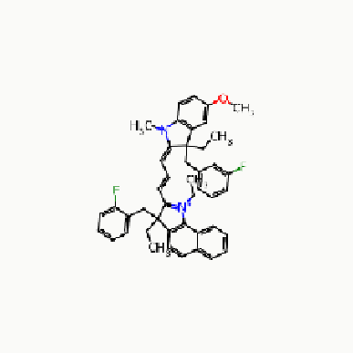 CC[N+]1=C(/C=C/C=C2/N(C)c3ccc(OC)cc3C2(CC)Cc2cccc(F)c2)C(CC)(Cc2ccccc2F)c2ccc3ccccc3c21